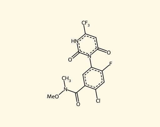 CON(C)C(=O)c1cc(-n2c(=O)cc(C(F)(F)F)[nH]c2=O)c(F)cc1Cl